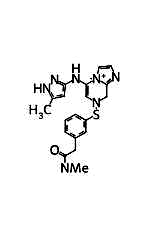 CNC(=O)Cc1cccc(SN2C=C(Nc3cc(C)[nH]n3)[N+]3C=CN=C3C2)c1